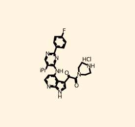 CC(C)c1cnc(-c2ccc(F)cc2)nc1Nc1ccnc2[nH]cc(C(=O)C(=O)N3CCNCC3)c12.Cl